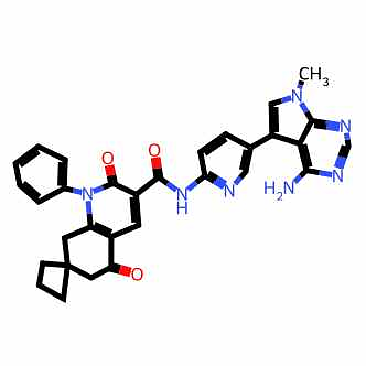 Cn1cc(-c2ccc(NC(=O)c3cc4c(n(-c5ccccc5)c3=O)CC3(CCC3)CC4=O)nc2)c2c(N)ncnc21